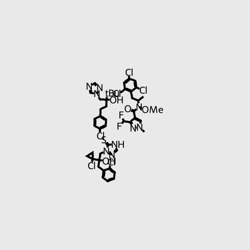 CC(C)(C)C(O)(CCc1ccc(Cl)cc1)Cn1cncn1.CON(C(=O)c1cn(C)nc1C(F)F)C(C)Cc1c(Cl)cc(Cl)cc1Cl.OC(Cc1ccccc1Cl)(Cn1nc[nH]c1=S)C1(Cl)CC1